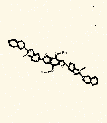 CCCCCCOc1c2cc(-c3ccc4c(c3)cc(-c3ccc5ccccc5c3)n4C)sc2c(OCCCCCC)c2cc(-c3ccc4c(c3)cc(-c3ccc5ccccc5c3)n4C)sc12